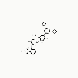 Cc1cc(Nc2ncc(Cl)c(Nc3ccccc3S(=O)(=O)C(C)C)n2)c(OC(C)C)cc1C1=C[C@@H](C2CCC2)N(C)[C@H](C2CCC2)C1